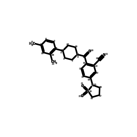 Cc1ccc(N2CCN(C(=O)c3ccc(N4CCCS4(=O)=O)cc3C#N)CC2)c(C)c1